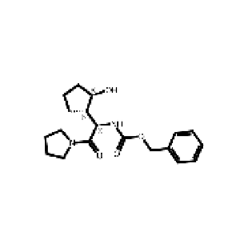 O=C(N[C@@H](C(=O)N1CCCC1)[C@@H]1CCC[C@H]1O)OCc1ccccc1